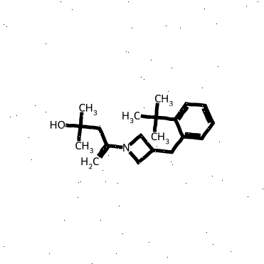 C=C(CC(C)(C)O)N1CC(Cc2ccccc2C(C)(C)C)C1